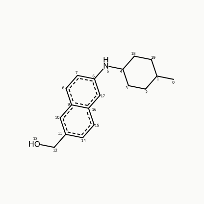 CC1CCC(Nc2ccc3cc(CO)ccc3c2)CC1